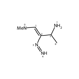 CN/C=C(\N=N)C(C)N